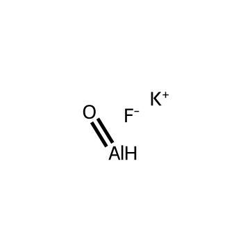 [F-].[K+].[O]=[AlH]